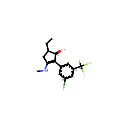 CCC1CC(NC)=C(c2cc(Cl)cc(C(F)(F)F)c2)C1=O